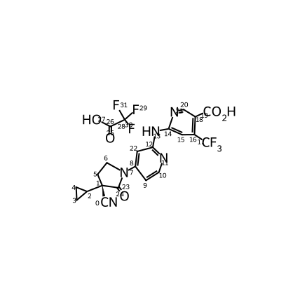 N#C[C@@]1(C2CC2)CCN(c2ccnc(Nc3cc(C(F)(F)F)c(C(=O)O)cn3)c2)C1=O.O=C(O)C(F)(F)F